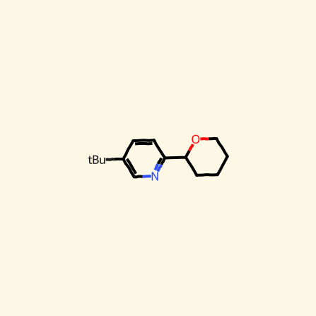 CC(C)(C)c1ccc(C2CCCCO2)nc1